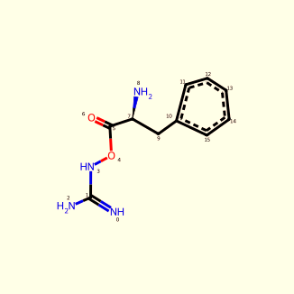 N=C(N)NOC(=O)[C@@H](N)Cc1ccccc1